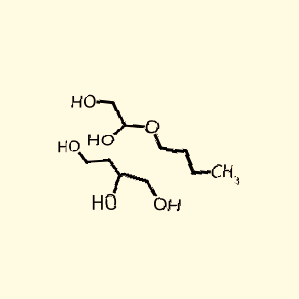 CCCCOC(O)CO.OCCC(O)CO